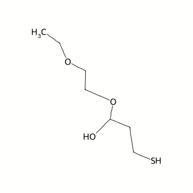 CCOCCOC(O)CCS